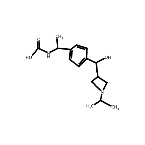 CC(C)N1CC(C(O)c2ccc([C@H](C)NC(=O)O)cc2)C1